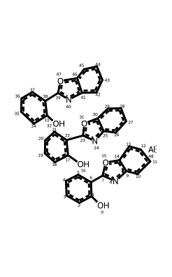 Oc1ccccc1-c1nc2ccccc2o1.Oc1ccccc1-c1nc2ccccc2o1.Oc1ccccc1-c1nc2ccccc2o1.[Al]